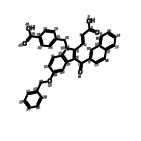 O=C(O)/C=C/c1c(C(=O)c2ccc3ccccc3c2)c2cc(OCc3ccccc3)ccc2n1Cc1ccc(C(=O)O)cc1